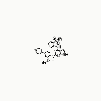 CC(C)Oc1cc(C2CCN(C)CC2)ccc1Nc1nc(Nc2ccccc2S(=O)(=O)C(C)C)c2cc[nH]c2n1